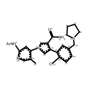 CC(=O)Nc1cc(-n2cc(C(N)=O)c(-c3cc(CN4CCCC4)ccc3Cl)c2)c(C)cn1